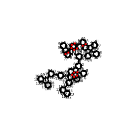 C1=CC(C2(c3ccccc3)c3ccc(-c4ccc(N(c5ccc6c(c5)C(c5ccccc5)(c5ccccc5)c5ccccc5-6)c5cc(-c6cccc7ccccc67)ccc5-c5ccccc5)c(-n5c6ccccc6c6ccccc65)c4)cc3-c3ccc(N(c4ccc(-c5cccc(-n6c7ccccc7c7ccccc76)c5)cc4)c4cc(-c5cccc6ccccc56)ccc4-c4ccccc4)cc32)=CCC1